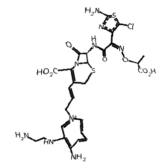 C[C@H](O/N=C(\C(=O)N[C@@H]1C(=O)N2C(C(=O)O)=C(/C=C/C[N+]3=C/C(NCCN)=C(N)\C=C\C=C\3)CSC12)c1nc(N)sc1Cl)C(=O)O